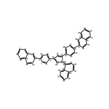 c1ccc2cc(-c3ccc(-c4nc(-c5ccc(-c6ccc7ccccc7c6)cc5)n(-c5cccc6ccccc56)n4)cc3)ccc2c1